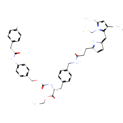 Cc1cc(C)n(CB(F)F)c1/C=C1/C=CC(CCC(=O)NCc2ccc(C[C@H](NC(=O)OCc3ccc(NC(=O)Cc4ccc(F)cc4)cc3)C(=O)OCC#N)cc2)=N1